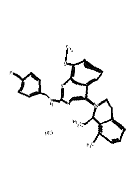 COc1cccc2c(N3CCc4cccc(C)c4C3C)nc(Nc3ccc(F)cc3)nc12.Cl